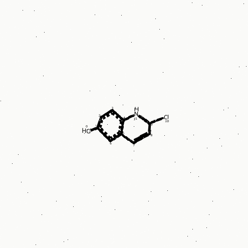 Oc1ccc2c(c1)C=CC(Cl)N2